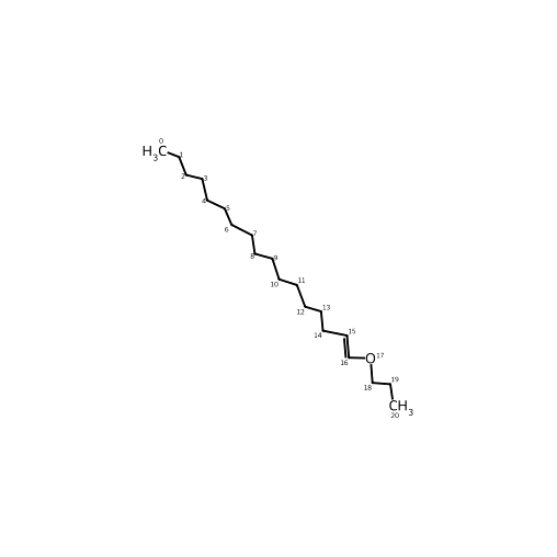 CCCCCCCCCCCCCCCC=COCCC